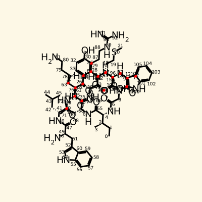 CC[C@@H](C)[C@@H](NC(=O)CNC(=O)[C@@H](C)NC(=O)[C@@H](CCSC)NC(=O)[C@@H](Cc1ccc(O)cc1)NC(=O)[C@H](NC(=O)[C@@H](CC(C)C)NC(=O)[C@H](N)Cc1c[nH]c2ccccc12)[C@H](C)CC)C(=O)N[C@H](CC(C)C)C(=O)N[C@H](CCCCN)C(=O)N[C@H](CCCNC(=N)N)C(=O)N[C@H](Cc1c[nH]c2ccccc12)C(=O)O